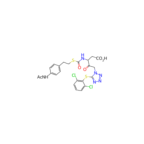 CC(=O)Nc1ccc(CCSC(=O)NC(CC(=O)O)C(=O)Cn2nnnc2Sc2c(Cl)cccc2Cl)cc1